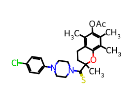 CC(=O)Oc1c(C)c(C)c2c(c1C)CCC(C)(C(=S)N1CCN(c3ccc(Cl)cc3)CC1)O2